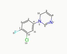 Fc1ccc(N2[C]=NC=CC2)cc1Cl